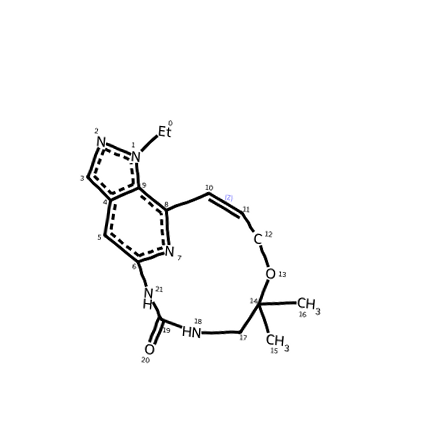 CCn1ncc2cc3nc(c21)/C=C\COC(C)(C)CNC(=O)N3